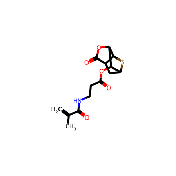 C=C(C)C(=O)NCCC(=O)OC1C2CC3C(=O)OC1C3S2